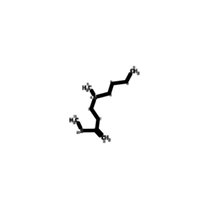 C=C(CCN(C)CCCC)SC